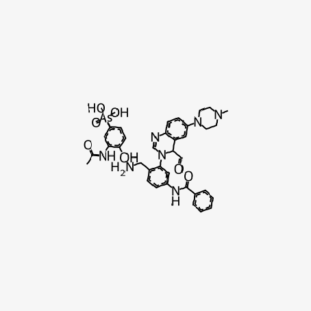 CC(=O)Nc1cc([As](=O)(O)O)ccc1O.CN1CCN(c2ccc3c(c2)C(C=O)N(c2cc(NC(=O)c4ccccc4)ccc2CN)C=N3)CC1